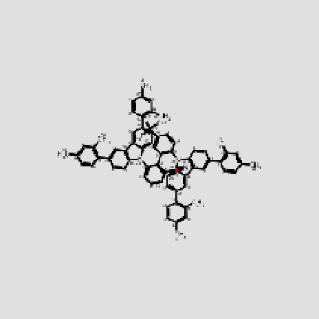 Cc1ccc(-c2ccc3c(c2)c2cc(-c4ccc(C)cc4C)ccc2n3-c2ccc(C(F)(F)F)cc2-c2c(C#N)cccc2-n2c3ccc(-c4ccc(C)cc4C)cc3c3cc(-c4ccc(C)cc4C)ccc32)c(C)c1